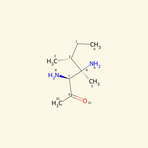 CC[C@@H](C)[C@@](C)(N)[C@H](N)C(C)=O